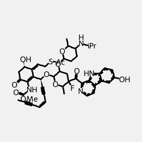 CC#C/C=C\C#C[C@H](OC1OC(C)C(F)(C(=O)c2nccc3c2[nH]c2ccc(O)cc23)CC1OC1CCC(NC(C)C)C(C)O1)C1=C(NC(=O)OC)C(=O)C[C@H](O)/C1=C/CSC(C)=O